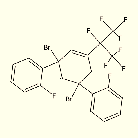 Fc1ccccc1C1(Br)[CH]C(Br)(c2ccccc2F)CC(C(F)(C(F)(F)F)C(F)(F)F)=C1